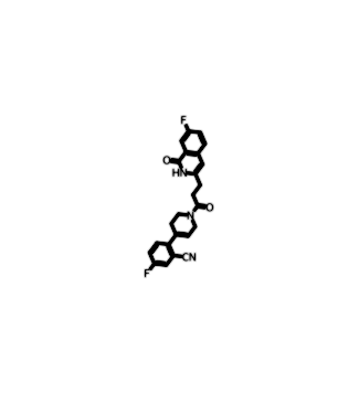 N#Cc1cc(F)ccc1C1=CCN(C(=O)CCc2cc3ccc(F)cc3c(=O)[nH]2)CC1